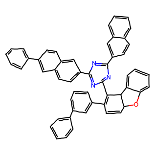 C1=CC2Oc3ccccc3C2C(c2nc(-c3ccc4ccccc4c3)nc(-c3ccc4cc(-c5ccccc5)ccc4c3)n2)=C1c1cccc(-c2ccccc2)c1